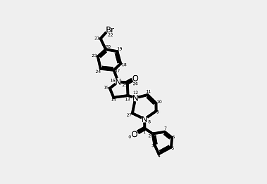 O=C(c1ccccc1)N1CC=CN(C2CCN(c3ccc(CBr)cc3)C2=O)C1